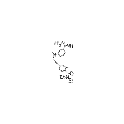 CCN(CC)C(=O)c1ccc(C#CCN(C)c2cccc(C(=N)N)c2)cc1C